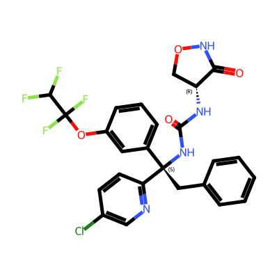 O=C(N[C@@H]1CONC1=O)N[C@@](Cc1ccccc1)(c1cccc(OC(F)(F)C(F)F)c1)c1ccc(Cl)cn1